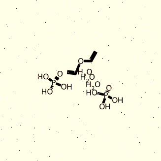 C=COC=C.O.O.O.O=P(O)(O)O.O=P(O)(O)O